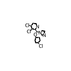 Clc1ccc(OC(c2nccc(Cl)c2Cl)n2ccnc2)cc1